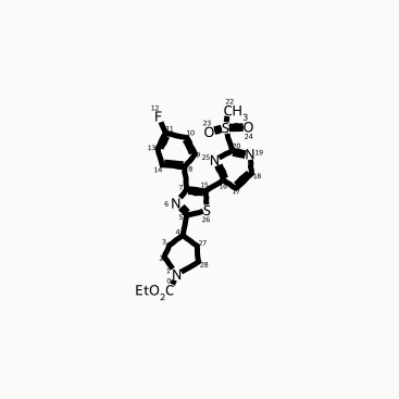 CCOC(=O)N1CCC(c2nc(-c3ccc(F)cc3)c(-c3ccnc(S(C)(=O)=O)n3)s2)CC1